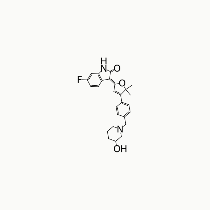 CC1(C)OC(=C2C(=O)Nc3cc(F)ccc32)C=C1c1ccc(CN2CCCC(O)C2)cc1